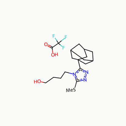 CSc1nnc(C23CC4CC(CC(C4)C2)C3)n1CCCCO.O=C(O)C(F)(F)F